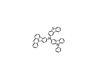 c1ccc(-n2c3ccccc3c3cc(N(c4ccc5c(c4)-c4cccc6cc7ccccc7c-5c46)c4ccc5sc6ccccc6c5c4)ccc32)cc1